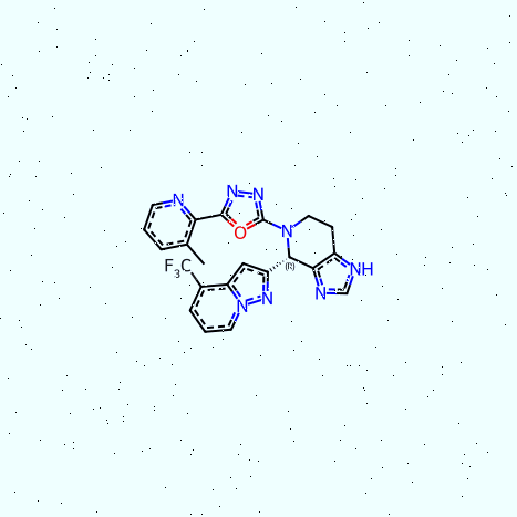 Cc1cccnc1-c1nnc(N2CCc3[nH]cnc3[C@@H]2c2cc3c(C(F)(F)F)cccn3n2)o1